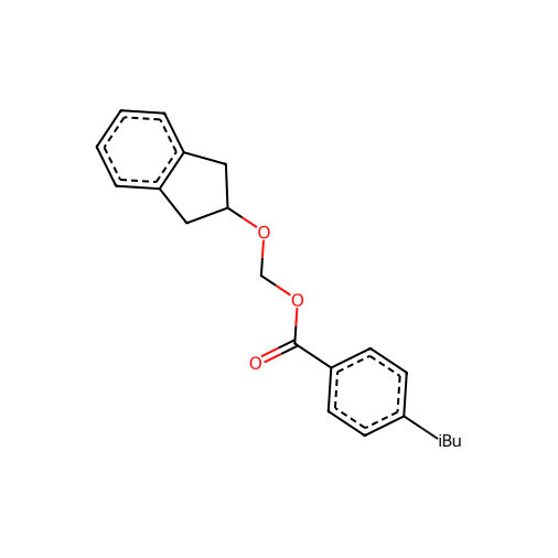 CCC(C)c1ccc(C(=O)OCOC2Cc3ccccc3C2)cc1